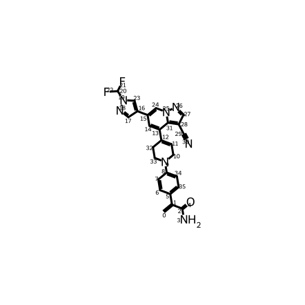 C=C(C(N)=O)c1ccc(N2CC=C(c3cc(-c4cnn(C(F)F)c4)cn4ncc(C#N)c34)CC2)cc1